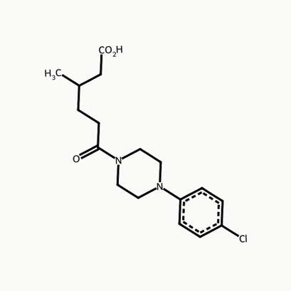 CC(CCC(=O)N1CCN(c2ccc(Cl)cc2)CC1)CC(=O)O